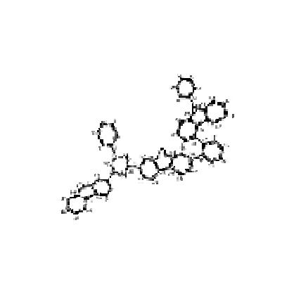 c1ccc(-c2nc(-c3ccc4c(c3)oc3ccccc34)nc(-c3ccc4c(c3)oc3cc(-c5ccccc5-c5cccc6c5c5ccccc5n6-c5ccccc5)ccc34)n2)cc1